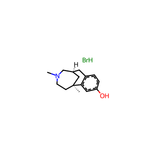 Br.CN1CC[C@@]2(C)C[C@H](Cc3ccc(O)cc32)C1